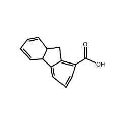 O=C(O)c1cccc2c1CC1C=CC=CC21